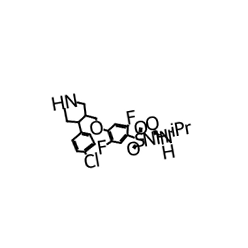 CC(C)NC(=O)NS(=O)(=O)c1cc(F)c(OCC2CNCCC2c2ccc(Cl)cc2)cc1F